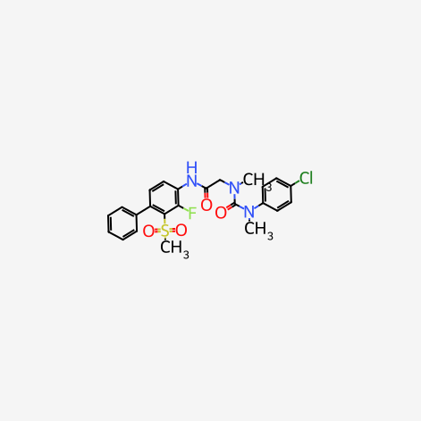 CN(CC(=O)Nc1ccc(-c2ccccc2)c(S(C)(=O)=O)c1F)C(=O)N(C)c1ccc(Cl)cc1